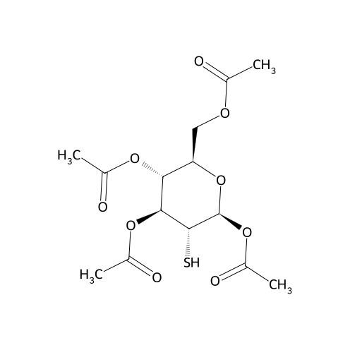 CC(=O)OC[C@H]1O[C@@H](OC(C)=O)[C@H](S)[C@@H](OC(C)=O)[C@@H]1OC(C)=O